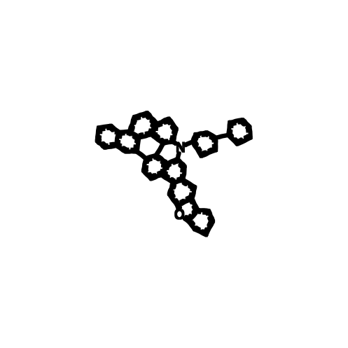 c1ccc(-c2ccc(N(c3ccc4cc5oc6ccccc6c5cc4c3)c3ccccc3-c3ccccc3-c3cc4ccccc4c4ccccc34)cc2)cc1